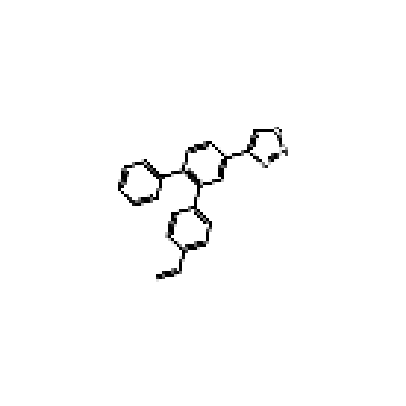 C=Cc1ccc(-c2cc(-c3conn3)ccc2-c2ccccc2)cc1